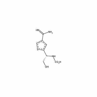 N=C(N)c1csc([C@@H](CO)NC(=O)O)c1